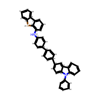 c1ccc(-n2c3ccccc3c3cc(-c4ccc(-c5ccc(Nc6cccc7c6sc6ccccc67)cc5)cc4)ccc32)cc1